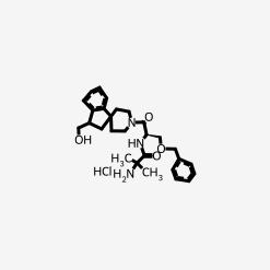 CC(C)(N)C(=O)N[C@H](COCc1ccccc1)C(=O)N1CCC2(CC1)CC(CO)c1ccccc12.Cl